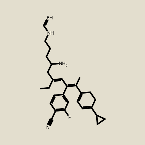 B=CNCCCC(N)C/C(=C/C(=C(\C)C1=CC=C(C2CC2)CC1)c1ccc(C#N)c(F)c1)CC